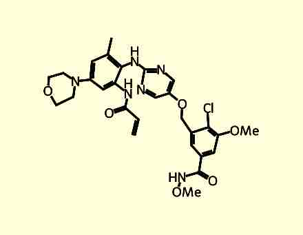 C=CC(=O)Nc1cc(N2CCOCC2)cc(C)c1Nc1ncc(OCc2cc(C(=O)NOC)cc(OC)c2Cl)cn1